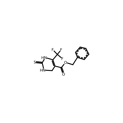 O=C(OCc1ccccc1)C1=C(C(F)(F)F)NC(=S)NC1